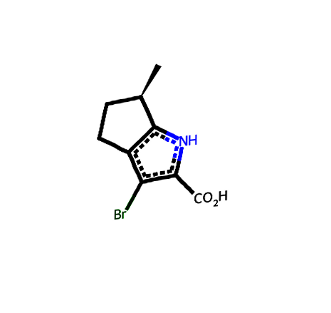 C[C@@H]1CCc2c1[nH]c(C(=O)O)c2Br